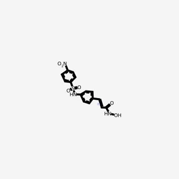 O=C(/C=C/c1ccc(NS(=O)(=O)c2ccc([N+](=O)[O-])cc2)cc1)NO